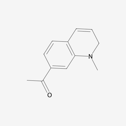 CC(=O)c1ccc2c(c1)N(C)CC=C2